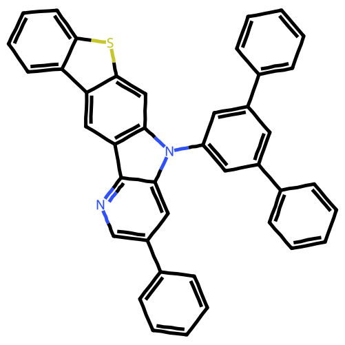 c1ccc(-c2cc(-c3ccccc3)cc(-n3c4cc5sc6ccccc6c5cc4c4ncc(-c5ccccc5)cc43)c2)cc1